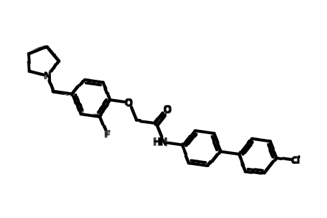 O=C(COc1ccc(CN2CCCC2)cc1F)Nc1ccc(-c2ccc(Cl)cc2)cc1